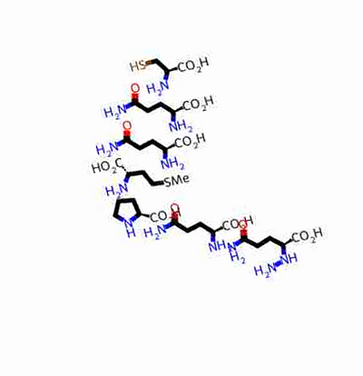 CSCC[C@H](N)C(=O)O.NC(=O)CC[C@H](N)C(=O)O.NC(=O)CC[C@H](N)C(=O)O.NC(=O)CC[C@H](N)C(=O)O.NN[C@@H](CCC(N)=O)C(=O)O.N[C@@H](CS)C(=O)O.O=C(O)[C@@H]1CCCN1